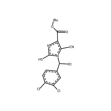 CCC(c1ccc(Cl)c(Cl)c1)n1c(S)nc(C(=O)OC(C)(C)C)c1C#N